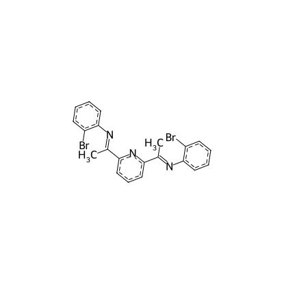 C/C(=N\c1ccccc1Br)c1cccc(/C(C)=N/c2ccccc2Br)n1